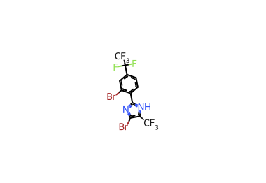 FC(F)(F)c1[nH]c(-c2ccc(C(F)(F)C(F)(F)F)cc2Br)nc1Br